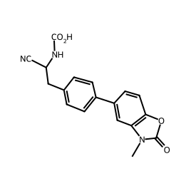 Cn1c(=O)oc2ccc(-c3ccc(CC(C#N)NC(=O)O)cc3)cc21